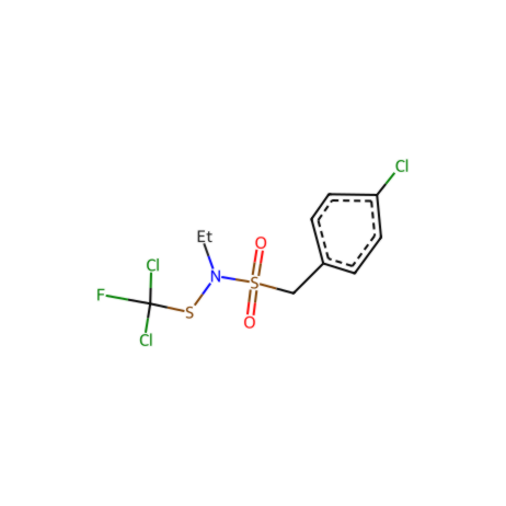 CCN(SC(F)(Cl)Cl)S(=O)(=O)Cc1ccc(Cl)cc1